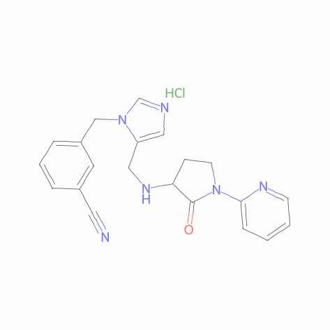 Cl.N#Cc1cccc(Cn2cncc2CNC2CCN(c3ccccn3)C2=O)c1